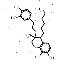 CCCCCCC1c2ccc(O)c(O)c2CCC1(N)SCCc1ccc(O)c(O)c1